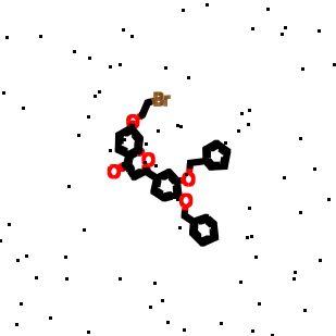 O=c1cc(-c2ccc(OCc3ccccc3)c(OCc3ccccc3)c2)oc2cc(OCCBr)ccc12